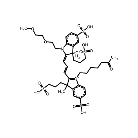 COCCOCCN1/C(=C/C=C/C2=[N+](CCCCCC(C)=O)c3ccc(S(=O)(=O)O)cc3C2(C)CCCS(=O)(=O)O)C(C)(CCCS(=O)(=O)O)c2cc(S(=O)(=O)O)ccc21